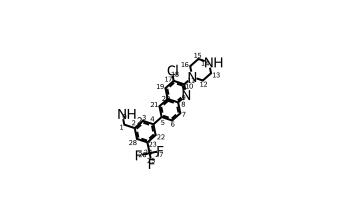 NCc1cc(-c2ccc3nc(N4CCNCC4)c(Cl)cc3c2)cc(C(F)(F)F)c1